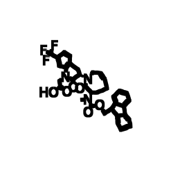 CN(C(=O)OCC1c2ccccc2-c2ccccc21)[C@H]1CC/C=C\CN([C@H]2Cc3ccc(C(F)(F)F)cc3N(CC(=O)O)C2=O)C1=O